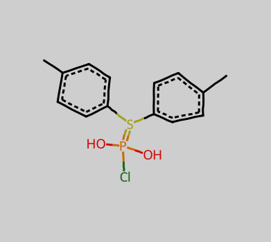 Cc1ccc(S(c2ccc(C)cc2)=P(O)(O)Cl)cc1